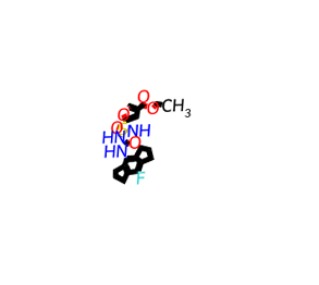 CCOC(=O)c1coc(S(=N)(=O)NC(=O)Nc2c3c(c(F)c4c2CCC4)CCC3)c1